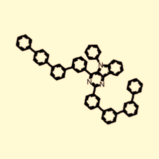 c1ccc(-c2ccc(-c3cccc(-c4cccc(-c5nc(-c6cccc(-c7cccc(-c8cccc(-c9ccccc9)c8)c7)c6)nc6c7ccccc7n(-c7ccccc7)c56)c4)c3)cc2)cc1